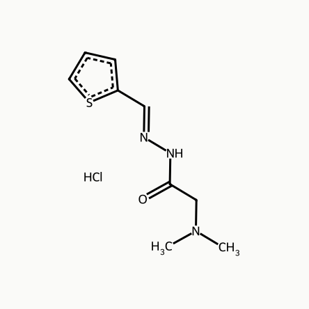 CN(C)CC(=O)NN=Cc1cccs1.Cl